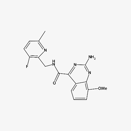 COc1cccc2c(C(=O)NCc3nc(C)ccc3F)nc(N)nc12